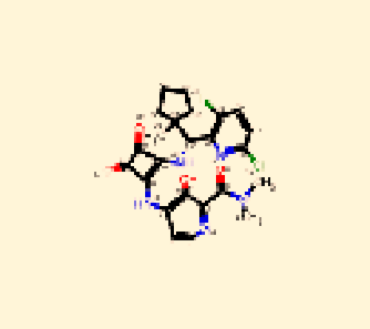 CN(C)C(=O)c1nccc(Nc2c(N[C@@H](c3nc(Cl)ccc3F)C3(C)CCCC3)c(=O)c2=O)c1O